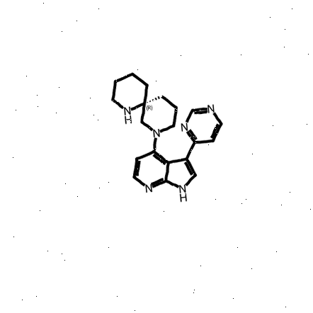 c1cc(-c2c[nH]c3nccc(N4CCC[C@]5(CCCCN5)C4)c23)ncn1